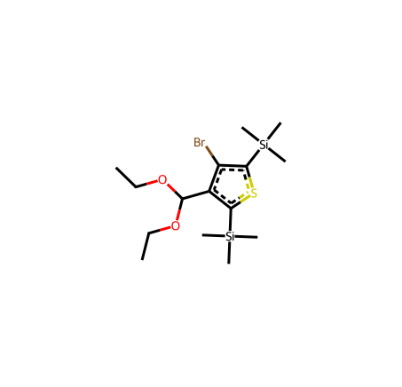 CCOC(OCC)c1c([Si](C)(C)C)sc([Si](C)(C)C)c1Br